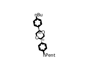 CCCCCc1ccc([C@H]2CO[C@H](c3ccc(CCCC)cc3)CO2)cc1